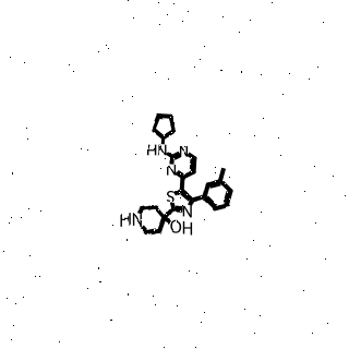 Cc1cccc(-c2nc(C3(O)CCNCC3)sc2-c2ccnc(NC3CCCC3)n2)c1